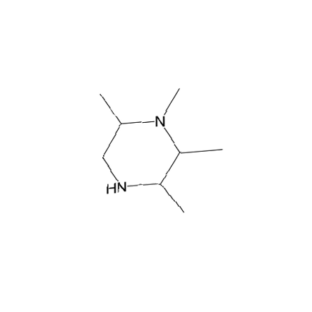 CC1NCC(C)N(C)C1C